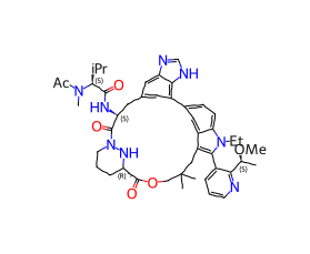 CCn1c(-c2cccnc2[C@H](C)OC)c2c3cc(ccc31)-c1cc(cc3nc[nH]c13)C[C@H](NC(=O)[C@H](C(C)C)N(C)C(C)=O)C(=O)N1CCC[C@@](C)(N1)C(=O)OCC(C)(C)C2